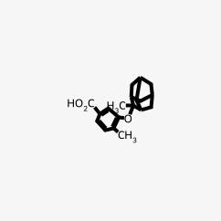 Cc1ccc(C(=O)O)cc1OC1(C)C2CC3CC(C2)CC1C3